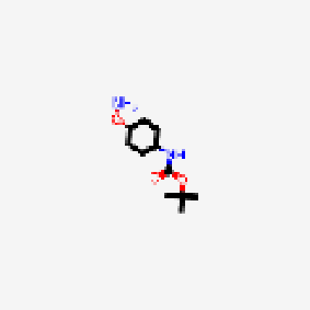 CC(C)(C)OC(=O)N[C@H]1CC[C@@H](ON)CC1